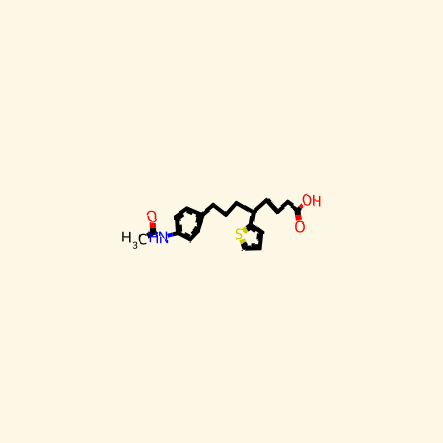 CC(=O)Nc1ccc(CCCC(CCCC(=O)O)c2cccs2)cc1